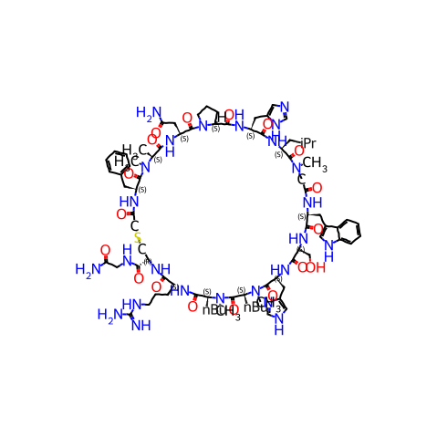 CCCC[C@H]1C(=O)N(C)[C@@H](CCCC)C(=O)N[C@@H](CCCNC(=N)N)C(=O)N[C@H](C(=O)NCC(N)=O)CSCC(=O)N[C@@H](Cc2ccccc2)C(=O)N(C)[C@@H](C)C(=O)N[C@@H](CC(N)=O)C(=O)N2CCC[C@H]2C(=O)N[C@@H](Cc2cnc[nH]2)C(=O)N[C@@H](CC(C)C)C(=O)N(C)CC(=O)N[C@@H](Cc2c[nH]c3ccccc23)C(=O)N[C@@H](CO)C(=O)N[C@@H](Cc2c[nH]cn2)C(=O)N1C